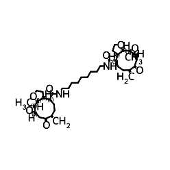 C=C1CC[C@H](C(=O)NCCCCCCCCCNC(=O)[C@H]2CCC(=C)C(=O)C[C@@H]3O[C@]3(C)[C@H]3OCC[C@@H]23)[C@@H]2CCO[C@@H]2[C@@]2(C)O[C@H]2CC1=O